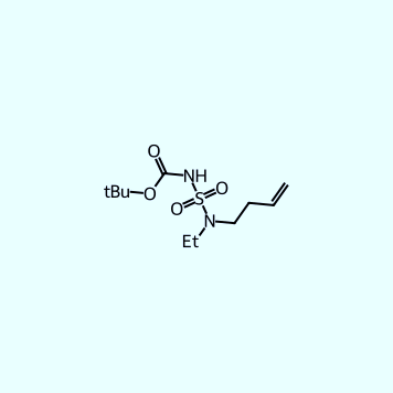 C=CCCN(CC)S(=O)(=O)NC(=O)OC(C)(C)C